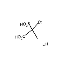 CCC(C)(C(=O)O)S(=O)(=O)O.[LiH]